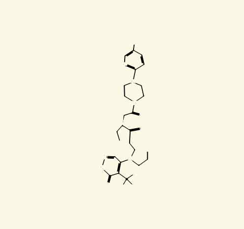 O=C1[C@H](CC(=O)N2CCN(c3ccc(Cl)cn3)CC2)CC[C@H]1[C@@H]1CCCN1c1cn[nH]c(=O)c1C(F)(F)F